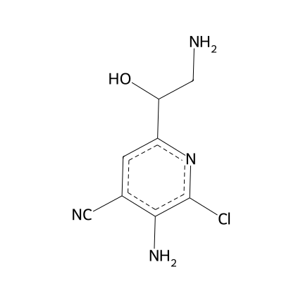 N#Cc1cc(C(O)CN)nc(Cl)c1N